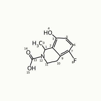 CC1c2c(O)ccc(F)c2CCN1C(=O)O